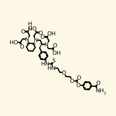 NC(=O)c1ccc(OC(=O)OCCOCCNC(=S)Nc2ccc(C[C@@H](CN(CC(=O)O)[C@@H]3CCCC[C@H]3N(CC(=O)O)CC(=O)O)N(CC(=O)O)CC(=O)O)cc2)cc1